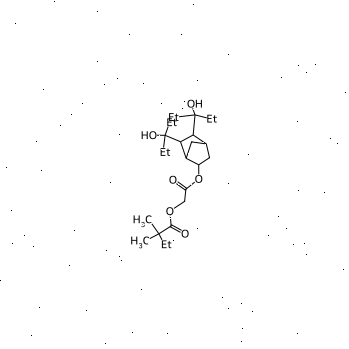 CCC(C)(C)C(=O)OCC(=O)OC1CC2CC1C(C(O)(CC)CC)C2C(O)(CC)CC